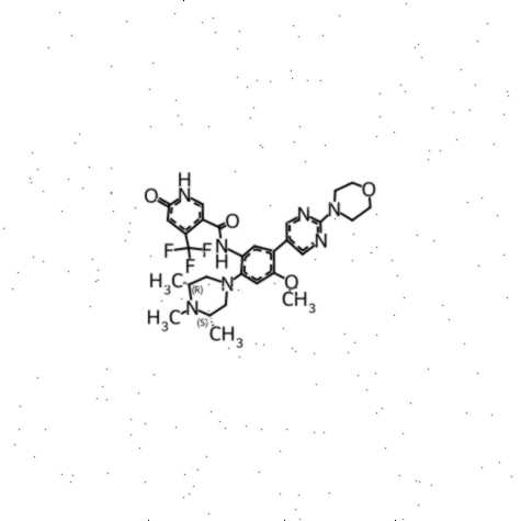 COc1cc(N2C[C@@H](C)N(C)[C@@H](C)C2)c(NC(=O)c2c[nH]c(=O)cc2C(F)(F)F)cc1-c1cnc(N2CCOCC2)nc1